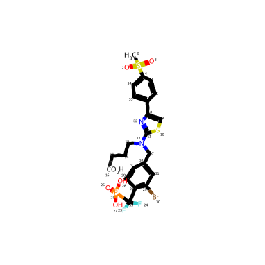 CS(=O)(=O)c1ccc(-c2csc(N(CCCC(=O)O)Cc3ccc(C(F)(F)P(=O)(O)O)c(Br)c3)n2)cc1